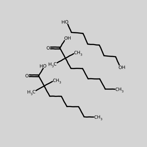 CCCCCCC(C)(C)C(=O)O.CCCCCCC(C)(C)C(=O)O.OCCCCCCO